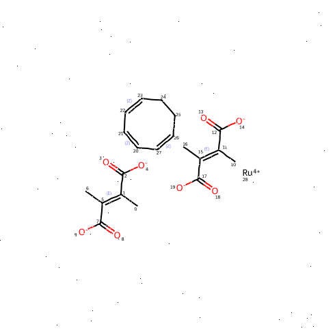 C/C(C(=O)[O-])=C(/C)C(=O)[O-].C/C(C(=O)[O-])=C(/C)C(=O)[O-].C1=C\C=C/CC\C=C/1.[Ru+4]